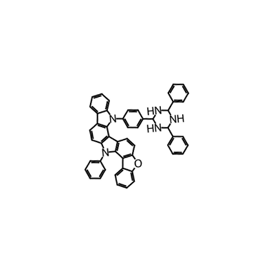 c1ccc(C2NC(c3ccccc3)NC(c3ccc(-n4c5ccccc5c5ccc6c(c7ccc8oc9ccccc9c8c7n6-c6ccccc6)c54)cc3)N2)cc1